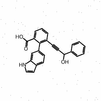 O=C(O)c1cccc(C#CC(O)c2ccccc2)c1-c1ccc2cc[nH]c2c1